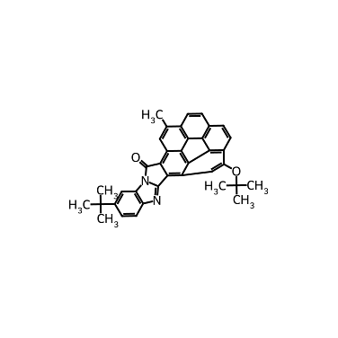 Cc1cc2c3c(=O)n4c5cc(C(C)(C)C)ccc5nc4c3c3cc(OC(C)(C)C)c4ccc5ccc1c1c5c4c3c21